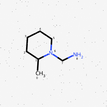 CC1CCCCN1CN